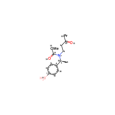 Bc1ccc([C@H](C)N(CCC(=O)C(C)C)C(=O)OC)cc1